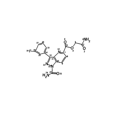 NC(=O)COC(=O)c1ccc2c(n1)c(-c1cccc(F)c1)nn2C(N)=O